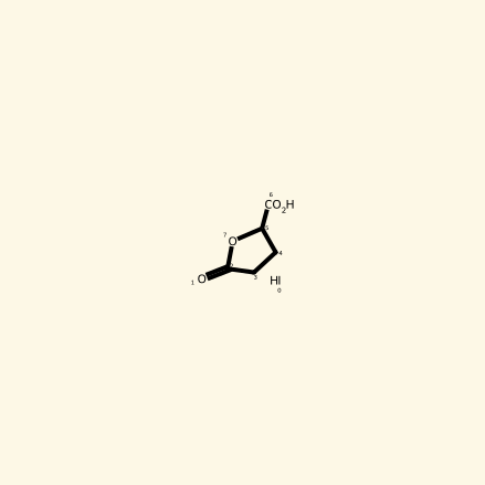 I.O=C1CCC(C(=O)O)O1